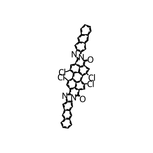 O=c1c2cc(Cl)c3c4c(Cl)cc5c(=O)n6c7cc8cc9ccccc9cc8cc7nc6c6cc(Cl)c(c7c(Cl)cc(c2c37)c2nc3cc7cc8ccccc8cc7cc3n12)c4c56